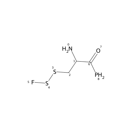 NC(CSSF)C(=O)P